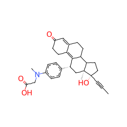 CC#C[C@]1(O)CCC2C3CCC4=CC(=O)CCC4=C3[C@@H](c3ccc(N(C)CC(=O)O)cc3)C[C@@]21C